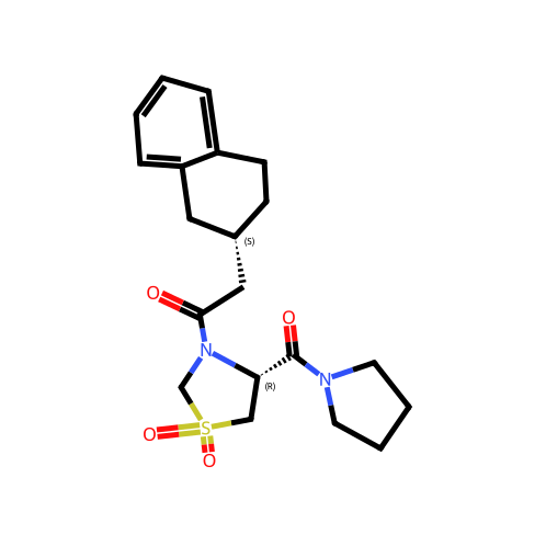 O=C([C@@H]1CS(=O)(=O)CN1C(=O)C[C@H]1CCc2ccccc2C1)N1CCCC1